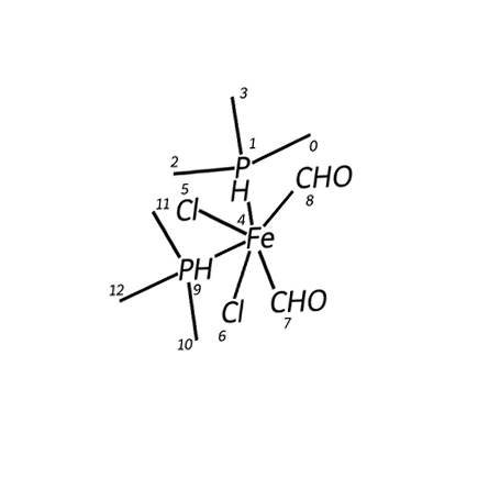 C[PH](C)(C)[Fe]([Cl])([Cl])([CH]=O)([CH]=O)[PH](C)(C)C